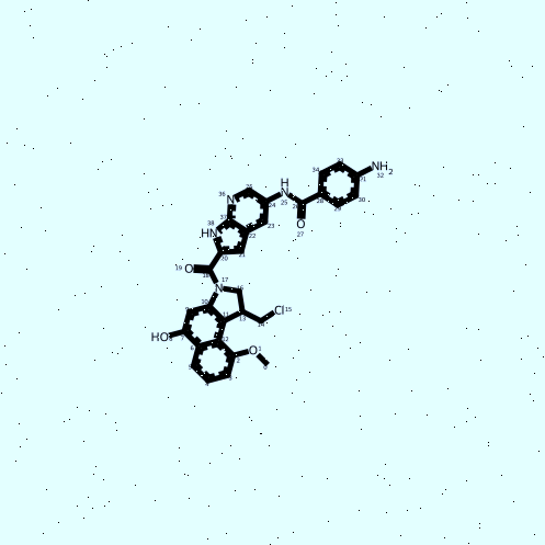 COc1cccc2c(O)cc3c(c12)C(CCl)CN3C(=O)c1cc2cc(NC(=O)c3ccc(N)cc3)cnc2[nH]1